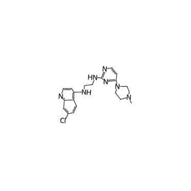 CN1CCN(c2ccnc(NCCNc3ccnc4cc(Cl)ccc34)n2)CC1